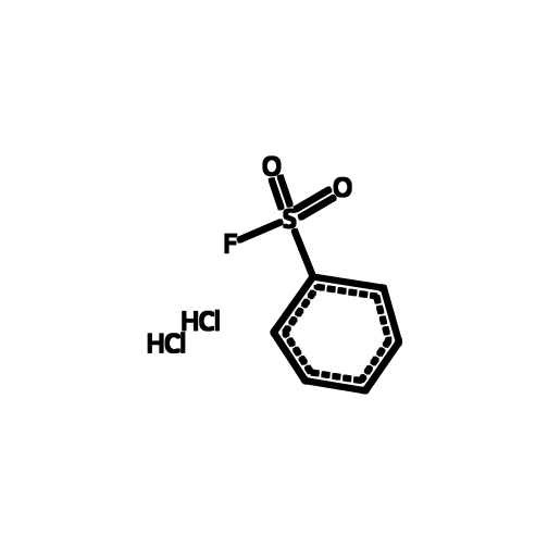 Cl.Cl.O=S(=O)(F)c1ccccc1